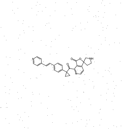 O=C1OC2(CCNC2)c2ccnc(C(=O)C3(c4ccc(/C=C/c5ccncc5)cc4)CC3)c21